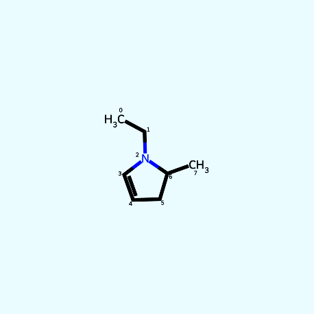 CCN1C=CCC1C